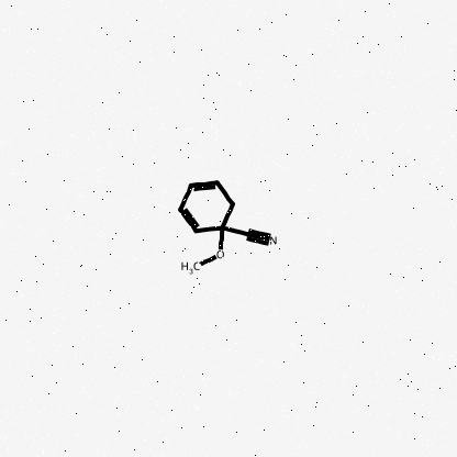 COC1(C#N)C=CC=CC1